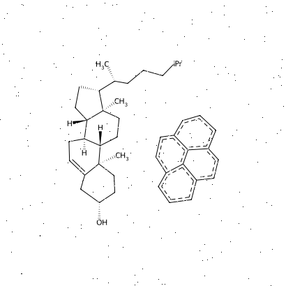 CC(C)CCC[C@@H](C)[C@H]1CC[C@H]2[C@@H]3CC=C4C[C@@H](O)CC[C@]4(C)[C@H]3CC[C@]12C.c1cc2ccc3cccc4ccc(c1)c2c34